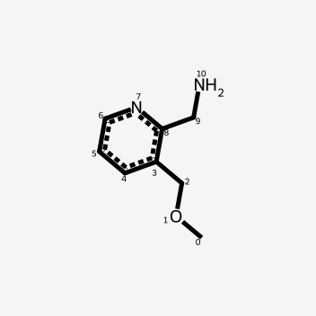 COCc1cccnc1CN